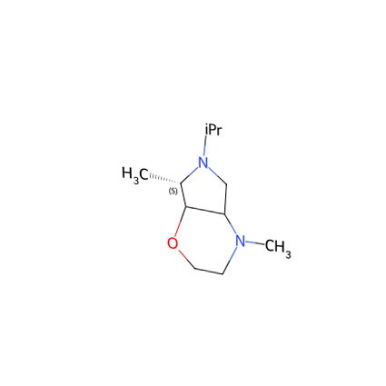 CC(C)N1CC2C(OCCN2C)[C@@H]1C